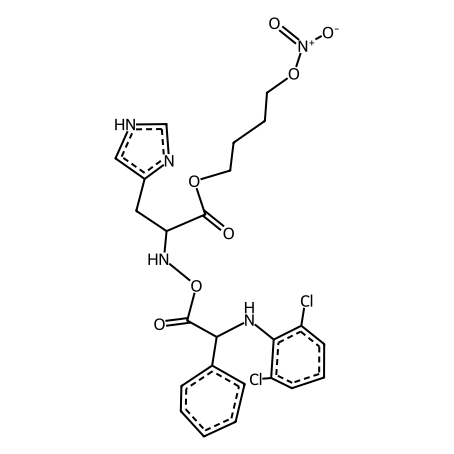 O=C(OCCCCO[N+](=O)[O-])C(Cc1c[nH]cn1)NOC(=O)C(Nc1c(Cl)cccc1Cl)c1ccccc1